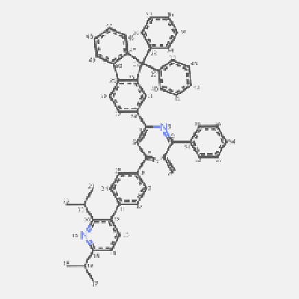 C=C/C(=N\C(=C/C(=C)c1ccc(-c2ccc(C(C)C)nc2C(C)C)cc1)c1ccc2c(c1)C(c1ccccc1)(c1ccccc1)c1ccccc1-2)c1ccccc1